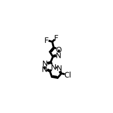 FC(F)c1cc(-c2nnc3ccc(Cl)nn23)no1